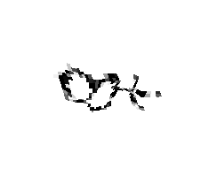 O=S(=O)(Cl)c1ccn2ncnc2c1